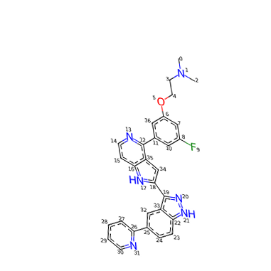 CN(C)CCOc1cc(F)cc(-c2nccc3[nH]c(-c4n[nH]c5ccc(-c6ccccn6)cc45)cc23)c1